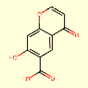 O=C(O)c1cc2c(=O)ccoc2cc1O